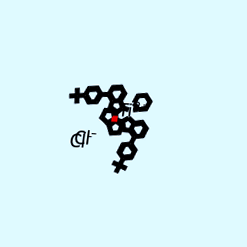 CC(C)(C)c1ccc(-c2cccc3c2C=C(C2CCCC2)[CH]3[Ti+2]2([CH]3C(C4CCCC4)=Cc4c(-c5ccc(C(C)(C)C)cc5)cccc43)[CH]3CCCC[CH]32)cc1.[Cl-].[Cl-]